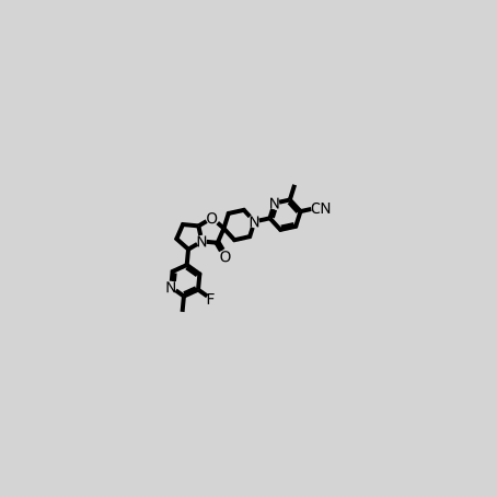 Cc1ncc(C2CCC3OC4(CCN(c5ccc(C#N)c(C)n5)CC4)C(=O)N32)cc1F